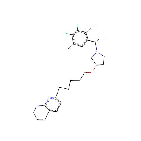 COc1c([C@@H](C(=O)O)N2CC[C@@H](OCCCCCc3ccc4c(n3)NCCC4)C2)cc(C(C)C)c(F)c1F